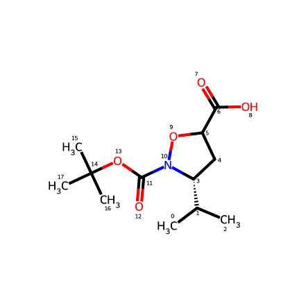 CC(C)[C@H]1CC(C(=O)O)ON1C(=O)OC(C)(C)C